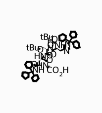 CC(C)(C)OC[C@H](NC(=O)[C@H](Cc1cn(C(c2ccccc2)(c2ccccc2)c2ccccc2)cn1)NC(=O)OC(C)(C)C)C(=O)N[C@@H](CCC(=O)NC(c1ccccc1)(c1ccccc1)c1ccccc1)C(=O)NCC(=O)O